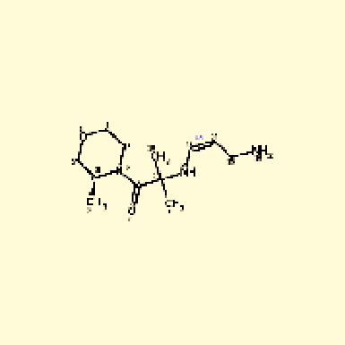 C[C@H]1COCCN1C(=O)C(C)(C)N/C=C\CN